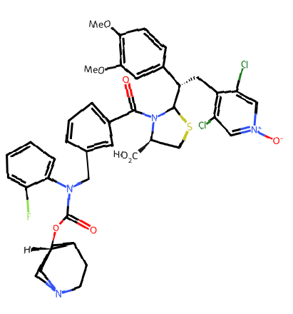 COc1ccc([C@H](Cc2c(Cl)c[n+]([O-])cc2Cl)C2SC[C@@H](C(=O)O)N2C(=O)c2cccc(CN(C(=O)O[C@H]3CN4CCC3CC4)c3ccccc3F)c2)cc1OC